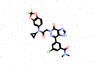 CN(C)C(=O)c1cc(Cl)cc(-c2nn(CC(=O)N(c3ccc4c(c3)OC(F)(F)O4)C3CC3)c(=O)c3nc[nH]c23)c1